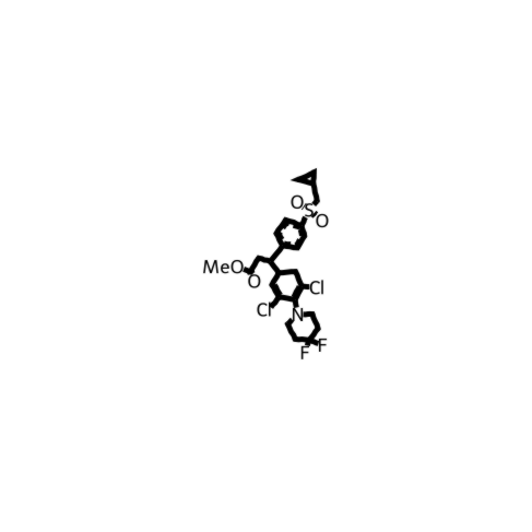 COC(=O)CC(c1ccc(S(=O)(=O)CC2CC2)cc1)C1C=C(Cl)C(N2CCC(F)(F)CC2)=C(Cl)C1